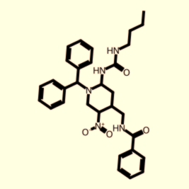 CCCCNC(=O)NC1CC(CNC(=O)c2ccccc2)C([N+](=O)[O-])CN1C(c1ccccc1)c1ccccc1